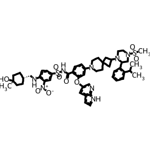 CC(C)c1ccccc1C1CN(S(C)(=O)=O)CCN1C1CC2(CCN(c3ccc(C(=O)NS(=O)(=O)c4ccc(NC[C@H]5CC[C@](C)(O)CC5)c([N+](=O)[O-])c4)c(Oc4cnc5[nH]ccc5c4)c3)CC2)C1